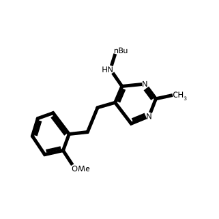 CCCCNc1nc(C)ncc1CCc1ccccc1OC